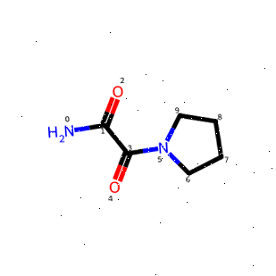 NC(=O)C(=O)N1CCCC1